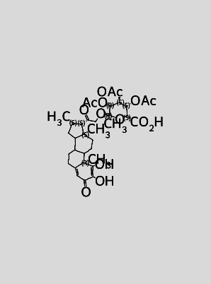 CC(=O)O[C@H]1[C@H](OC(C)=O)[C@@H](OC(C)=O)[C@](C)(OCC(=O)[C@H]2[C@@H](C)CC3C4CCC5=CC(=O)C(O)=C(O)[C@]5(C)C4CC[C@@]32C)O[C@@H]1C(=O)O